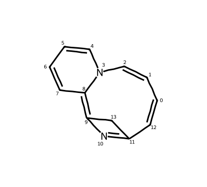 c1ccn2ccccc2c2nc(c1)C2